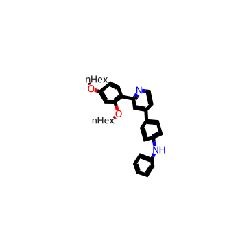 CCCCCCOc1ccc(-c2cc(-c3ccc(Nc4ccccc4)cc3)ccn2)c(OCCCCCC)c1